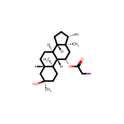 CC(=O)[C@H]1CC[C@H]2[C@@H]3CC[C@H]4C[C@](C)(O)CC[C@]4(C)[C@H]3[C@@H](OC(=O)CI)C[C@]12C